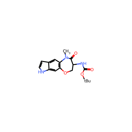 CN1C(=O)C(NC(=O)OC(C)(C)C)COc2cc3[nH]ccc3cc21